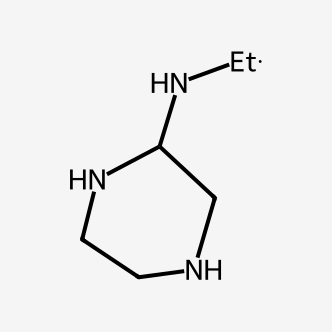 C[CH]NC1CNCCN1